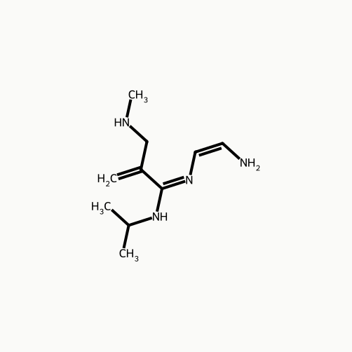 C=C(CNC)/C(=N\C=C/N)NC(C)C